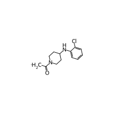 [CH2]C(=O)N1CCC(Nc2ccccc2Cl)CC1